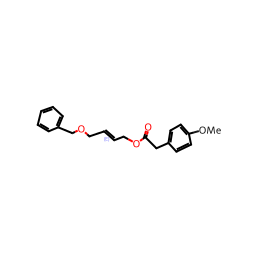 COc1ccc(CC(=O)OC/C=C/COCc2ccccc2)cc1